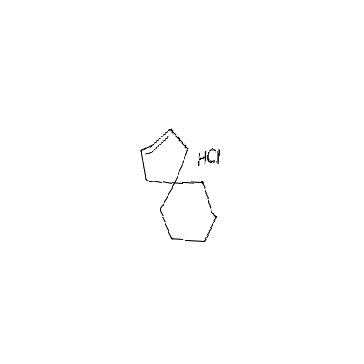 C1=CCC2(C1)CCCCC2.Cl